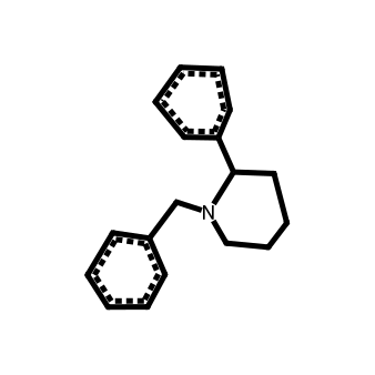 c1ccc(CN2CCCCC2c2ccccc2)cc1